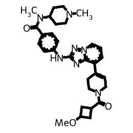 COC1CC(C(=O)N2CC=C(c3cccn4nc(Nc5ccc(C(=O)N(C)C6CCN(C)CC6)cc5)nc34)CC2)C1